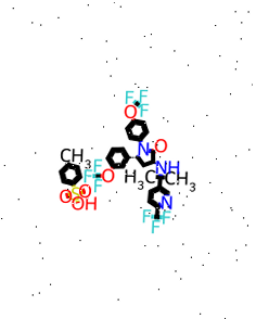 CC(C)(N[C@@H]1C[C@H](c2cccc(OC(F)(F)F)c2)N(c2ccc(OC(F)(F)F)cc2)C1=O)c1ccc(C(F)(F)F)nc1.Cc1ccc(S(=O)(=O)O)cc1